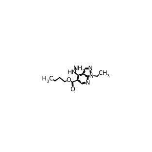 CCCCOC(=O)c1cnc2c(cnn2CC)c1NN